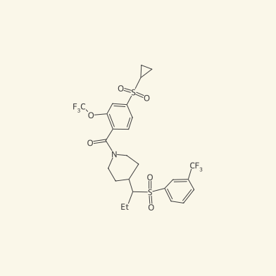 CCC(C1CCN(C(=O)c2ccc(S(=O)(=O)C3CC3)cc2OC(F)(F)F)CC1)S(=O)(=O)c1cccc(C(F)(F)F)c1